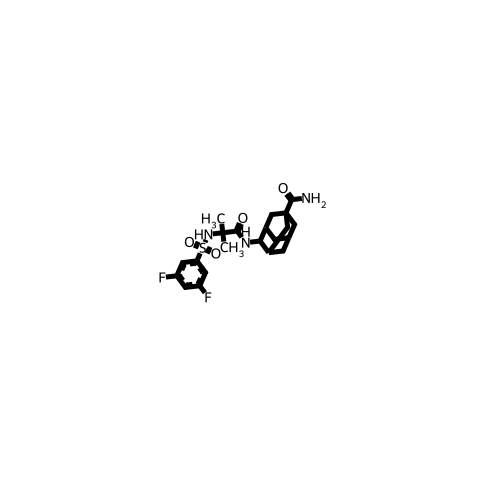 CC(C)(NS(=O)(=O)c1cc(F)cc(F)c1)C(=O)NC1C2CC3CC1CC(C(N)=O)(C3)C2